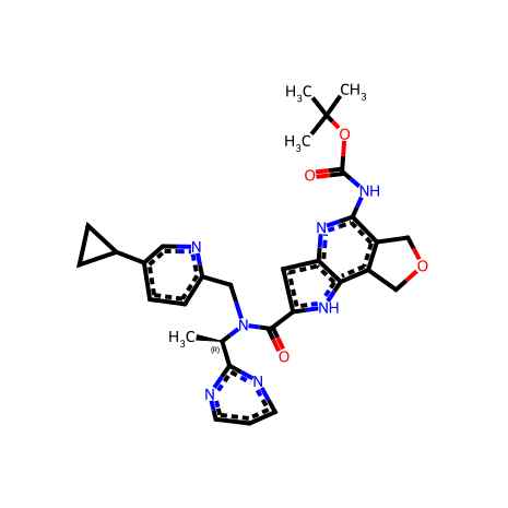 C[C@H](c1ncccn1)N(Cc1ccc(C2CC2)cn1)C(=O)c1cc2nc(NC(=O)OC(C)(C)C)c3c(c2[nH]1)COC3